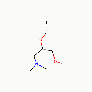 CCOC(COC)CN(C)C